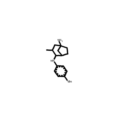 CC1CC2(N)CCC(C2)C1Nc1ccc(C(C)(C)C)cc1